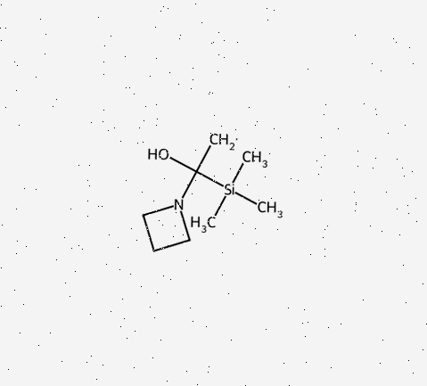 [CH2]C(O)(N1CCC1)[Si](C)(C)C